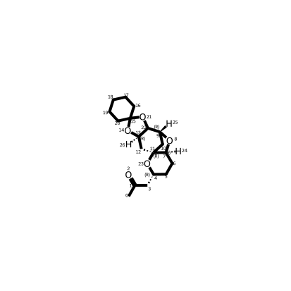 CC(=O)C[C@H]1CC[C@@H]2O[C@@H]3C[C@]2(C[C@H]2OC4(CCCCC4)OC32)O1